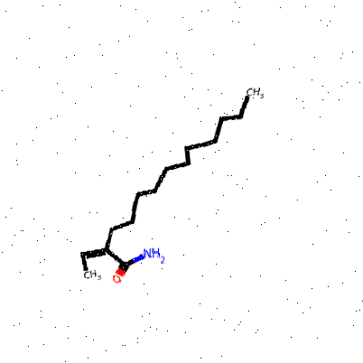 CC=C(CCCCCCCCCCC)C(N)=O